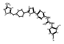 Cc1noc(CC2CCC(c3ncc(-c4ccc(NC(=O)Nc5ccc(F)cc5F)cc4)s3)CC2)n1